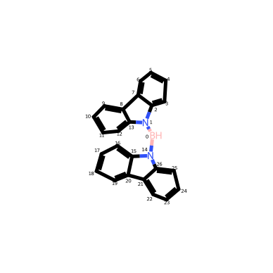 B(n1c2ccccc2c2ccccc21)n1c2ccccc2c2ccccc21